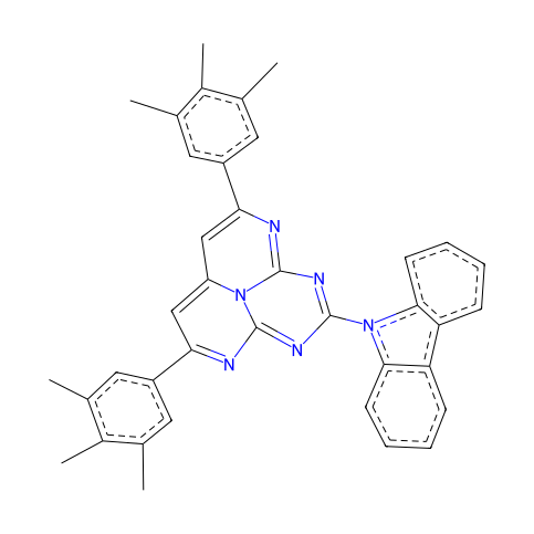 Cc1cc(C2=CC3=CC(c4cc(C)c(C)c(C)c4)=NC4=NC(n5c6ccccc6c6ccccc65)=NC(=N2)N34)cc(C)c1C